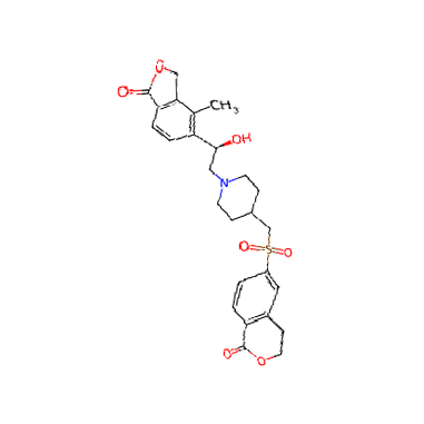 Cc1c([C@@H](O)CN2CCC(CS(=O)(=O)c3ccc4c(c3)CCOC4=O)CC2)ccc2c1COC2=O